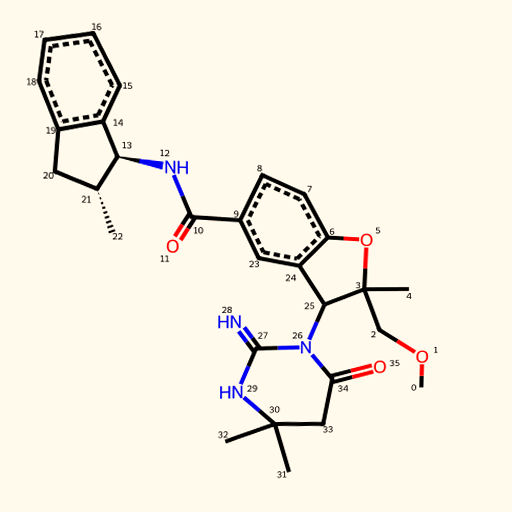 COCC1(C)Oc2ccc(C(=O)N[C@@H]3c4ccccc4C[C@H]3C)cc2C1N1C(=N)NC(C)(C)CC1=O